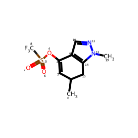 CC1C=C(OS(=O)(=O)C(F)(F)F)c2cnn(C)c2C1